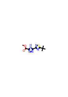 COC(=O)c1nnc(-c2nsc(C(C)(C)C)n2)[nH]1